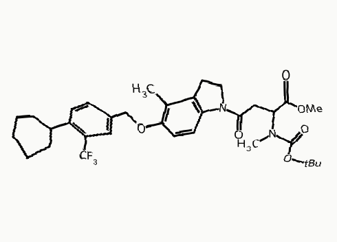 COC(=O)C(CC(=O)N1CCc2c1ccc(OCc1ccc(C3CCCCC3)c(C(F)(F)F)c1)c2C)N(C)C(=O)OC(C)(C)C